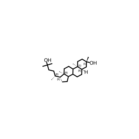 C[C@H](CCC(C)(C)O)[C@H]1CCC2C3CC[C@@H]4C[C@@](C)(O)CC[C@]4(C)C3CC[C@@]21C